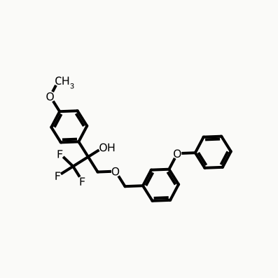 COc1ccc(C(O)(COCc2cccc(Oc3ccccc3)c2)C(F)(F)F)cc1